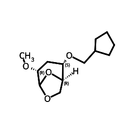 CO[C@@H]1C[C@H](OCC2CCCC2)[C@H]2COC1O2